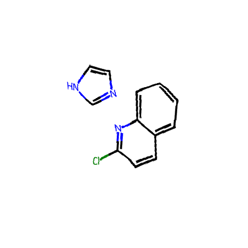 Clc1ccc2ccccc2n1.c1c[nH]cn1